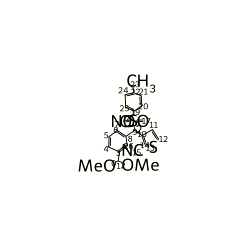 COC(OC)c1ccc([N+](=O)[O-])c(C(c2ccsc2C#N)S(=O)(=O)c2ccc(C)cc2)c1